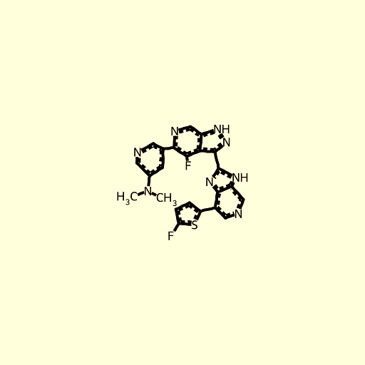 CN(C)c1cncc(-c2ncc3[nH]nc(-c4nc5c(-c6ccc(F)s6)cncc5[nH]4)c3c2F)c1